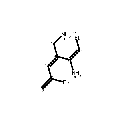 C=C(F)/C=C(CN)\C(N)=C/CC